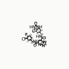 O=C1NC(=O)C2(CCC(CNC(=O)c3cc(C(=O)NCc4ccc(F)c(Cl)c4)nc4ncnn34)CC2)N1